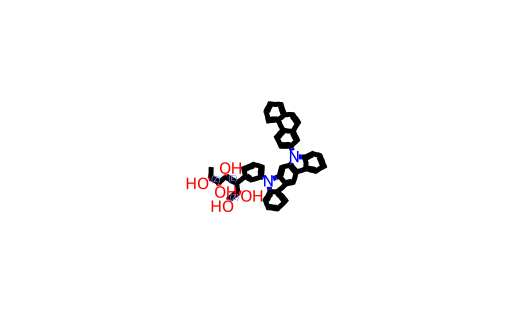 C\C(O)=C(O)/C(O)=C(\C(O)=C\O)c1cccc(-n2c3ccccc3c3cc4c5ccccc5n(-c5ccc6c(ccc7ccccc76)c5)c4cc32)c1